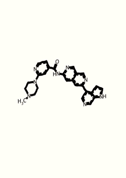 CN1CCN(c2cc(C(=O)Nc3cc4cc(-c5cncc6[nH]ccc56)ncc4cn3)ccn2)CC1